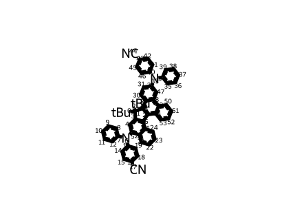 CC(C)(C)C1(C(C)(C)C)c2cc(N(c3ccccc3)c3ccc(C#N)cc3)c3ccccc3c2-c2c1c1ccc(N(c3ccccc3)c3ccc(C#N)cc3)cc1c1ccccc21